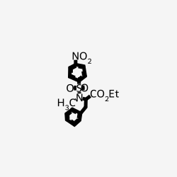 CCOC(=O)C(Cc1ccccc1)N(C)S(=O)(=O)c1ccc([N+](=O)[O-])cc1